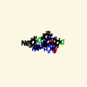 Cc1cc(Cl)cc(C(N)=O)c1NC(=O)c1cc(Cn2nnc(-c3cccc(C#N)c3)n2)nn1-c1ncccc1Cl